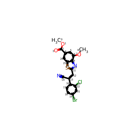 COC(=O)c1cc(OC)c2nc(/C=C(\C#N)c3ccc(Br)cc3Cl)sc2c1